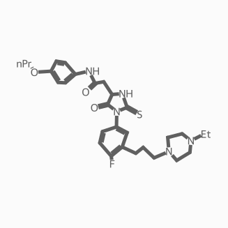 CCCOc1ccc(NC(=O)CC2NC(=S)N(c3ccc(F)c(CCCN4CCN(CC)CC4)c3)C2=O)cc1